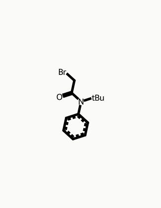 CC(C)(C)N(C(=O)CBr)c1ccccc1